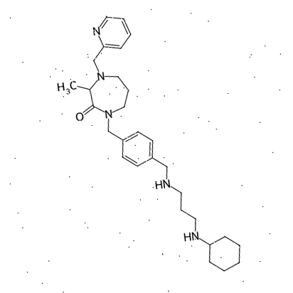 CC1C(=O)N(Cc2ccc(CNCCCNC3CCCCC3)cc2)CCCN1Cc1ccccn1